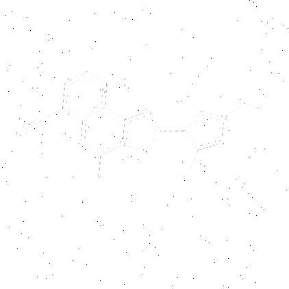 CCn1cc(-c2nc3c4cccc(C#N)c4nc(Cl)n3n2)c(C)n1